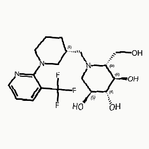 OC[C@@H]1[C@@H](O)[C@H](O)[C@@H](O)CN1C[C@H]1CCCN(c2ncccc2C(F)(F)F)C1